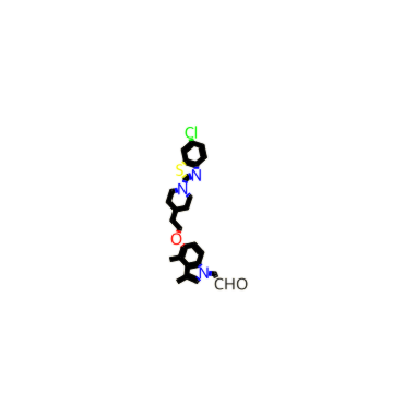 Cc1cn(CC=O)c2ccc(OCCC3CCN(c4nc5ccc(Cl)cc5s4)CC3)c(C)c12